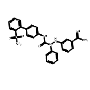 CS(=O)(=O)c1ccccc1-c1ccc(NC(=O)N(Nc2cccc(C(=N)N)c2)c2ccccc2)cc1